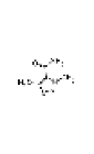 Cc1ncn(C)c1C(N)=O